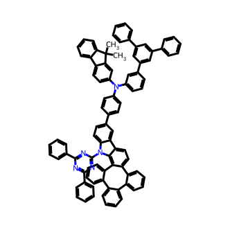 CC1(C)c2ccccc2-c2ccc(N(c3ccc(-c4ccc5c(c4)c4ccc6c(c4n5-c4nc(-c5ccccc5)nc(-c5ccccc5)n4)-c4ccccc4-c4ccccc4-c4ccccc4-6)cc3)c3cccc(-c4cc(-c5ccccc5)cc(-c5ccccc5)c4)c3)cc21